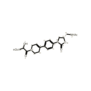 CCCCCCCCC(O)C(=O)N1CC=C(c2ccc(N3C[C@H](CNC(C)=O)OC3=O)cc2)CC1